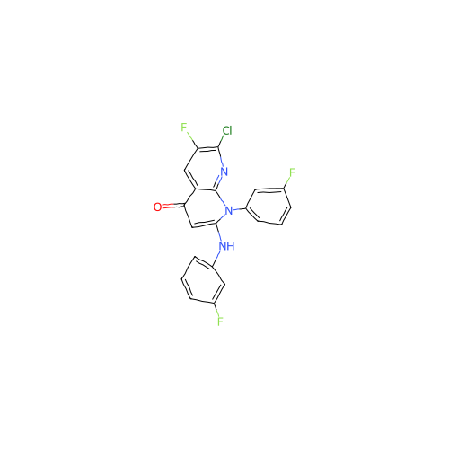 O=c1cc(Nc2cccc(F)c2)n(-c2cccc(F)c2)c2nc(Cl)c(F)cc12